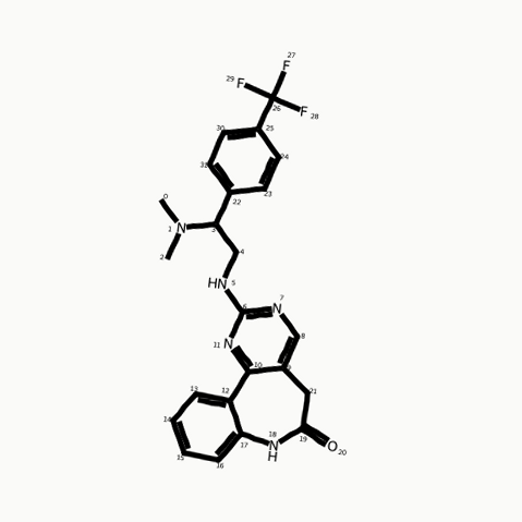 CN(C)C(CNc1ncc2c(n1)-c1ccccc1NC(=O)C2)c1ccc(C(F)(F)F)cc1